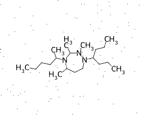 CCCCC(C)N1C(C)CCN(C(CCC)CCC)N(C)C1C